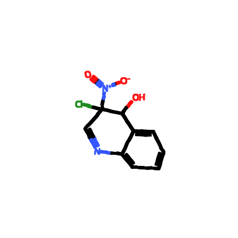 O=[N+]([O-])C1(Cl)C=Nc2ccccc2C1O